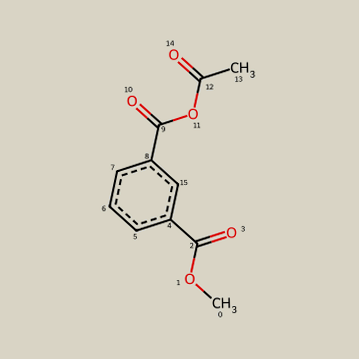 COC(=O)c1cccc(C(=O)OC(C)=O)c1